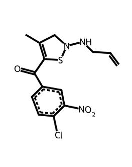 C=CCNN1CC(C)=C(C(=O)c2ccc(Cl)c([N+](=O)[O-])c2)S1